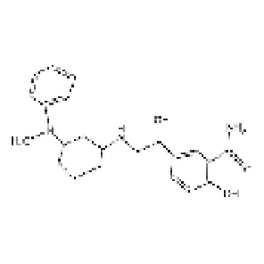 CN(c1ccccc1)C1CCCC(NCC(O)c2ccc(O)c(C(N)=O)c2)C1